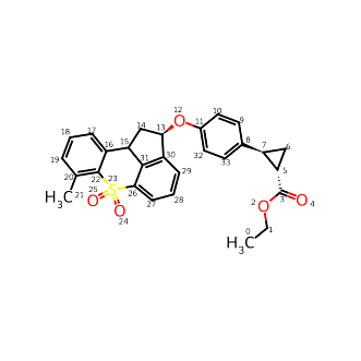 CCOC(=O)[C@H]1C[C@@H]1c1ccc(O[C@@H]2CC3c4cccc(C)c4S(=O)(=O)c4cccc2c43)cc1